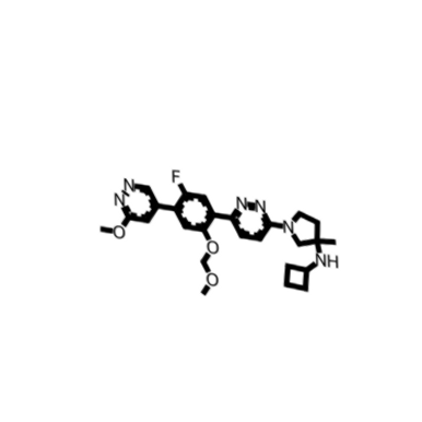 COCOc1cc(-c2cnnc(OC)c2)c(F)cc1-c1ccc(N2CCC(C)(NC3CCC3)C2)nn1